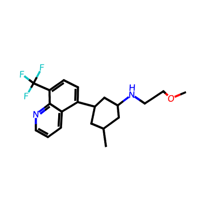 COCCNC1CC(C)CC(c2ccc(C(F)(F)F)c3ncccc23)C1